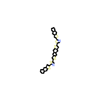 c1ccc2cc3sc(-c4ncc(-c5cc6cc7cc8sc(-c9cnc(-c%10cc%11cc%12ccccc%12cc%11s%10)s9)cc8cc7cc6s5)s4)cc3cc2c1